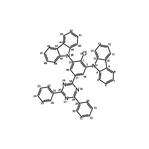 Clc1c(-n2c3ccccc3c3ccccc32)cc(-c2nc(-c3ccccc3)nc(-c3ccccc3)n2)cc1-n1c2ccccc2c2ccccc21